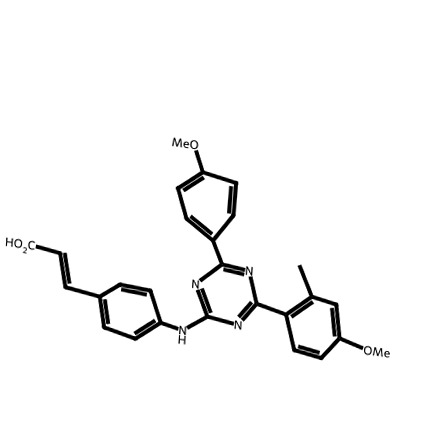 COc1ccc(-c2nc(Nc3ccc(C=CC(=O)O)cc3)nc(-c3ccc(OC)cc3C)n2)cc1